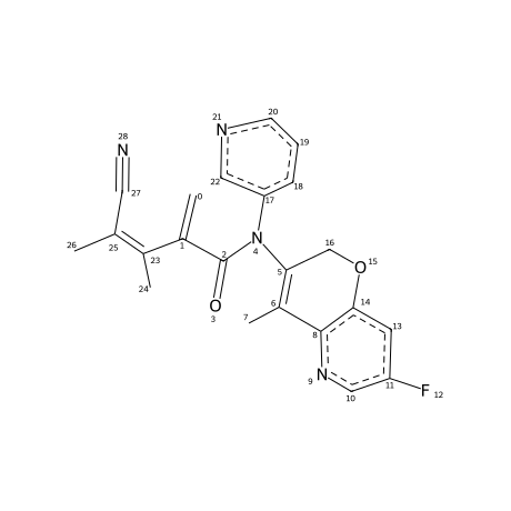 C=C(C(=O)N(C1=C(C)c2ncc(F)cc2OC1)c1cccnc1)/C(C)=C(/C)C#N